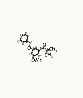 COc1cc(OCc2ccncc2)cc(C(=O)N(C)C)c1